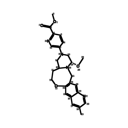 COC(=O)c1ccc(N2CC3CCOc4cc5cc(C)cnc5cc4CN3[C@@H](OC)C2)cn1